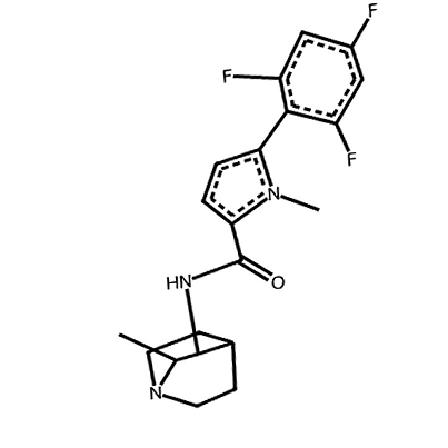 CC1C(NC(=O)c2ccc(-c3c(F)cc(F)cc3F)n2C)C2CCN1CC2